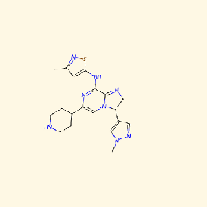 Cc1cc(NC2=NC(C3CCNCC3)=CN3C2=NCC3c2cnn(C)c2)sn1